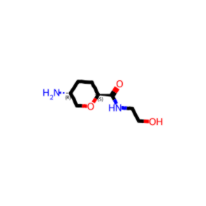 N[C@@H]1CC[C@@H](C(=O)NCCO)OC1